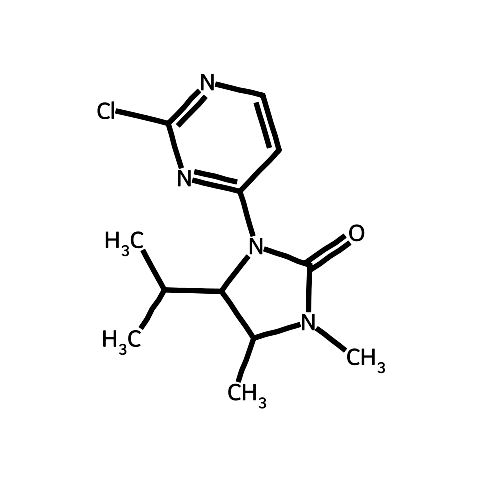 CC(C)C1C(C)N(C)C(=O)N1c1ccnc(Cl)n1